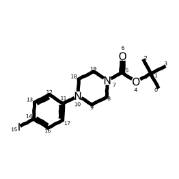 CC(C)(C)OC(=O)N1CCN(c2ccc(I)cc2)CC1